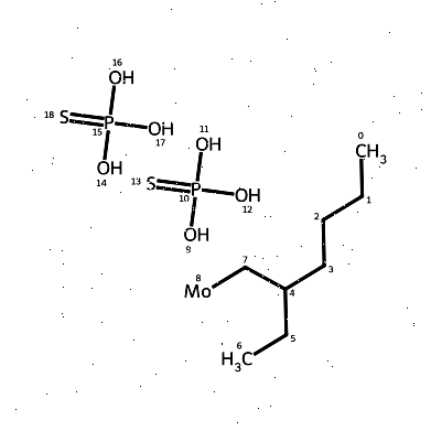 CCCCC(CC)[CH2][Mo].OP(O)(O)=S.OP(O)(O)=S